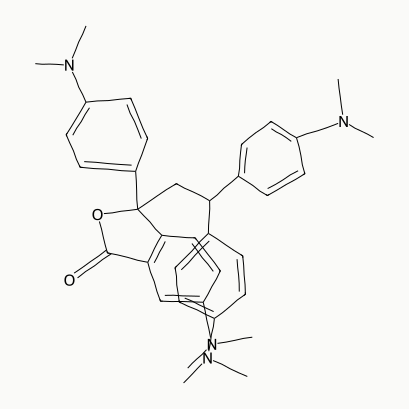 CN(C)c1ccc(C(CC2(c3ccc(N(C)C)cc3)OC(=O)c3cc(N(C)C)ccc32)c2ccc(N(C)C)cc2)cc1